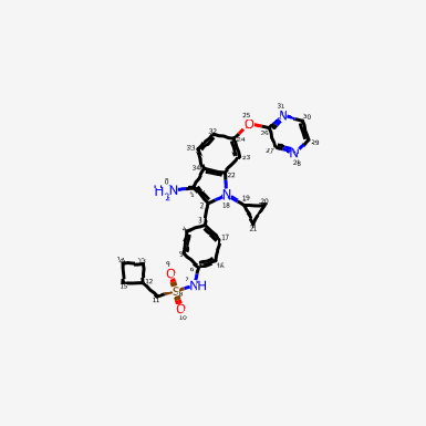 Nc1c(-c2ccc(NS(=O)(=O)CC3CCC3)cc2)n(C2CC2)c2cc(Oc3cnccn3)ccc12